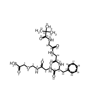 BC(=O)COCNC(=O)CNC(=O)[C@H](Cc1ccccc1)NC(=O)CNC(=O)CNC(=O)C(C)(C)C